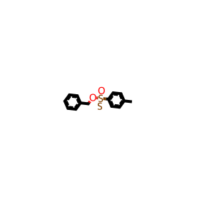 Cc1ccc(S(=O)(=S)OCc2ccccc2)cc1